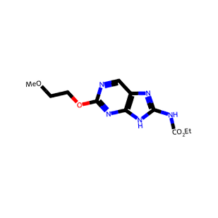 CCOC(=O)Nc1nc2cnc(OCCOC)nc2[nH]1